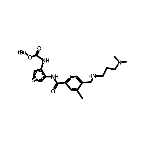 CC1=CC(C(=O)Nc2cscc2NC(=O)OC(C)(C)C)=IC=C1CNCCCN(C)C